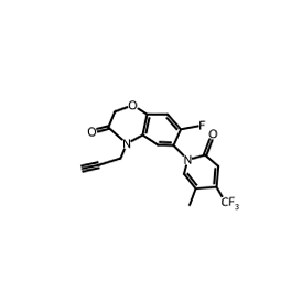 C#CCN1C(=O)COc2cc(F)c(-n3cc(C)c(C(F)(F)F)cc3=O)cc21